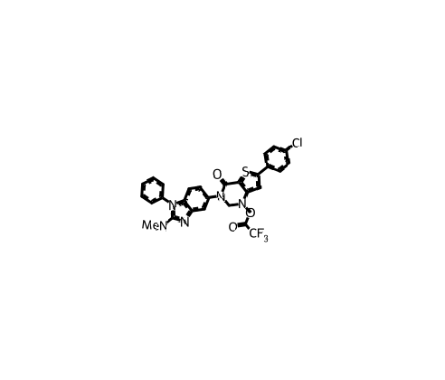 CNc1nc2cc(N3CN(OC(=O)C(F)(F)F)c4cc(-c5ccc(Cl)cc5)sc4C3=O)ccc2n1-c1ccccc1